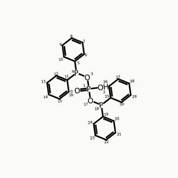 O=P(O)(OP(c1ccccc1)c1ccccc1)OP(c1ccccc1)c1ccccc1